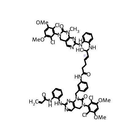 C=CC(=O)Nc1ccccc1Nc1ncc2c(n1)N(Cc1cccc(NC(=O)CC/C=C/C(O)Nc3ccccc3Nc3ncc4c(n3)N(C)C(=O)N(c3c(Cl)c(OC)cc(OC)c3Cl)C4)c1)C(=O)N(c1c(Cl)c(OC)cc(OC)c1Cl)C2